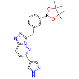 CC1(C)OB(c2cccc(Cc3nnc4ccc(-c5cn[nH]c5)nn34)c2)OC1(C)C